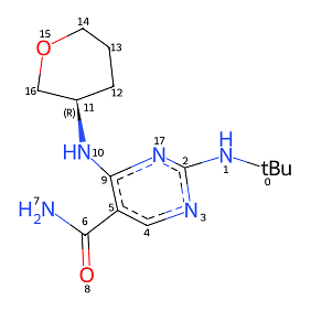 CC(C)(C)Nc1ncc(C(N)=O)c(N[C@@H]2CCCOC2)n1